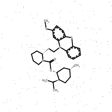 CSc1ccc2c(c1)N(CC[C@H]1CCCCN1C(=O)O[C@@H]1C[C@H](C)CC[C@H]1C(C)C)c1ccccc1S2